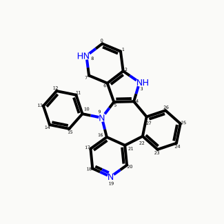 C1=Cc2[nH]c3c(c2CN1)N(c1ccccc1)c1ccncc1-c1ccccc1-3